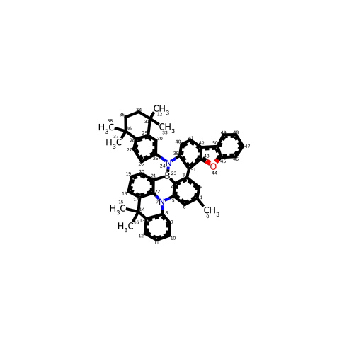 Cc1cc2c3c(c1)N1c4ccccc4C(C)(C)c4cccc(c41)B3N(c1ccc3c(c1)C(C)(C)CCC3(C)C)c1ccc3c(oc4ccccc43)c1-2